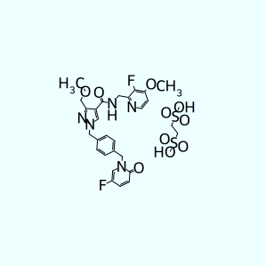 COCc1nn(Cc2ccc(Cn3cc(F)ccc3=O)cc2)cc1C(=O)NCc1nccc(OC)c1F.O=S(=O)(O)CCS(=O)(=O)O